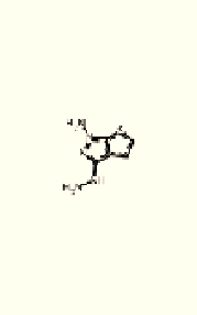 NNc1nn(N)c2sccc12